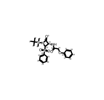 CC(C)(C)[Si](C)(C)N1C(=O)[C@@H](NC(=O)COc2ccccc2)C1S(=O)(=O)c1ccccc1